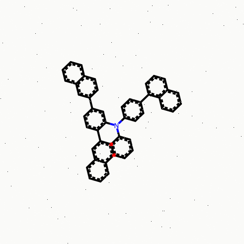 c1ccc(N(c2ccc(-c3cccc4ccccc34)cc2)c2cc(-c3ccc4ccccc4c3)ccc2-c2ccc3ccccc3c2)cc1